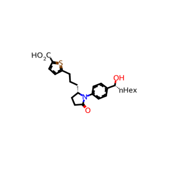 CCCCCC[C@@H](O)c1ccc(N2C(=O)CC[C@@H]2CCCc2ccc(C(=O)O)s2)cc1